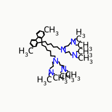 CCN(CC)CCCN(CCCCCCC1(CCCCCCN(CCCN(CC)CC)CCCN(CC)CC)c2cc(C)ccc2-c2ccc(C)cc21)CCCN(CC)CC